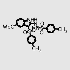 COc1ccc2[nH]c(NNS(=O)(=O)c3ccc(C)cc3)c(S(=O)(=O)c3ccc(C)cc3)c2c1